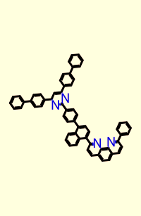 c1ccc(-c2ccc(-c3cc(-c4ccc(-c5ccccc5)cc4)nc(-c4ccc(-c5ccc(-c6ccc7ccc8ccc(-c9ccccc9)nc8c7n6)c6ccccc56)cc4)n3)cc2)cc1